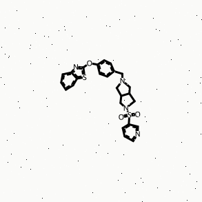 O=S(=O)(c1cccnc1)N1CC2CN(Cc3ccc(Oc4nc5ccccc5s4)cc3)CC2C1